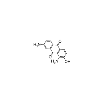 Nc1ccc2c(c1)C(=O)c1c(ccc(O)c1N)C2=O